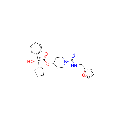 N=C(NCc1ccco1)N1CCC(OC(=O)[C@](O)(c2ccccc2)C2CCCC2)CC1